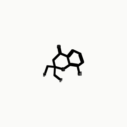 O=C1CC(CF)(CF)Oc2c(Cl)cccc21